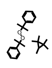 CC(C)(OOC(C)(C)c1ccccc1)c1ccccc1.CC1C(C)(C)C1(C)C